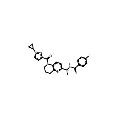 C[C@H](NC(=O)c1ccc(F)cc1)c1ccc2c(n1)CCCN2C(=O)c1ccn(C2CC2)n1